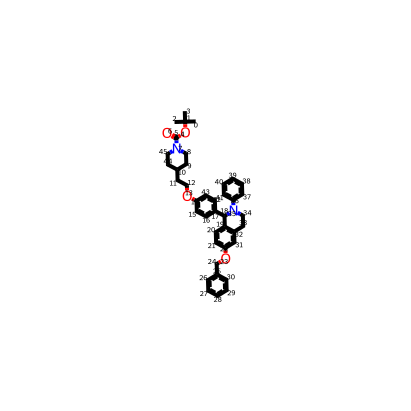 CC(C)(C)OC(=O)N1CCC(CCOc2ccc(C3c4ccc(OCc5ccccc5)cc4CCN3c3ccccc3)cc2)CC1